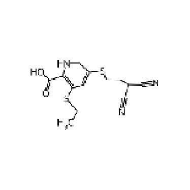 CCSC1=C(C(=O)O)NCC(SCCC(C#N)C#N)=C1